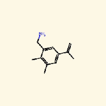 C=C(C)c1cc(C)c(C)c(CN)c1